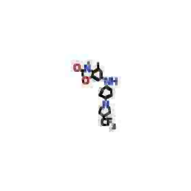 Cc1cc(Nc2ccc(N3CCC(C(F)(F)F)CC3)cc2)cc2c1N(C)C(=O)CO2